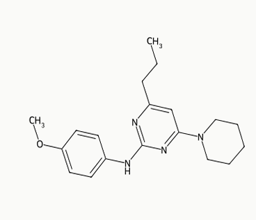 CCCc1cc(N2CCCCC2)nc(Nc2ccc(OC)cc2)n1